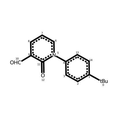 CC(C)(C)c1ccc(-n2cccc(C=O)c2=O)cc1